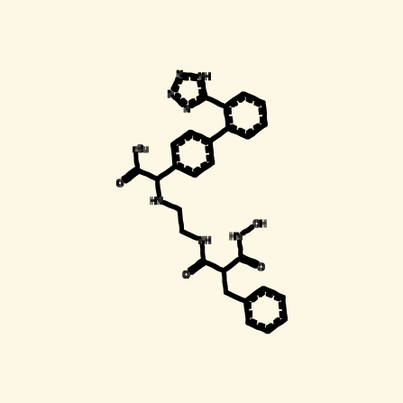 CCCCC(=O)C(NCCNC(=O)C(Cc1ccccc1)C(=O)NO)c1ccc(-c2ccccc2-c2nnn[nH]2)cc1